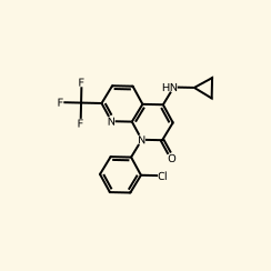 O=c1cc(NC2CC2)c2ccc(C(F)(F)F)nc2n1-c1ccccc1Cl